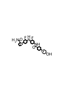 NC(=O)c1cccn1-c1ccc(Nc2ccc(NC(=O)c3ccc(N4CCC(O)CC4)cc3)cc2F)c(F)c1